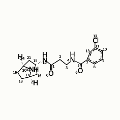 O=C(CCNC(=O)c1cccc(Cl)c1)N[C@@H]1C[C@H]2CC[C@@H](C1)N2